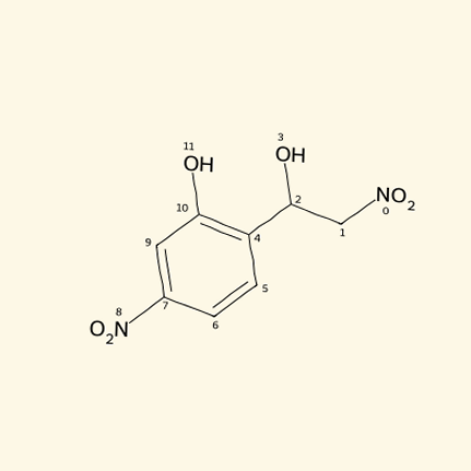 O=[N+]([O-])CC(O)c1ccc([N+](=O)[O-])cc1O